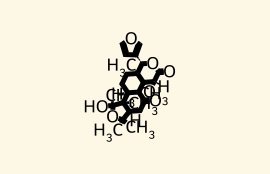 CC1(C)O[C@](C)(O)[C@]2(C)[C@H]3CC[C@@]4(C)[C@H](c5ccoc5)OC(=O)[C@H]5O[C@]54[C@]3(C)C(=O)C[C@@H]12